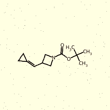 CC(C)(C)OC(=O)N1CC(C=C2CC2)C1